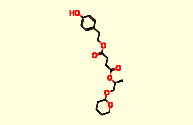 C[C@@H](COC1CCCCO1)OC(=O)CCC(=O)OCCc1ccc(O)cc1